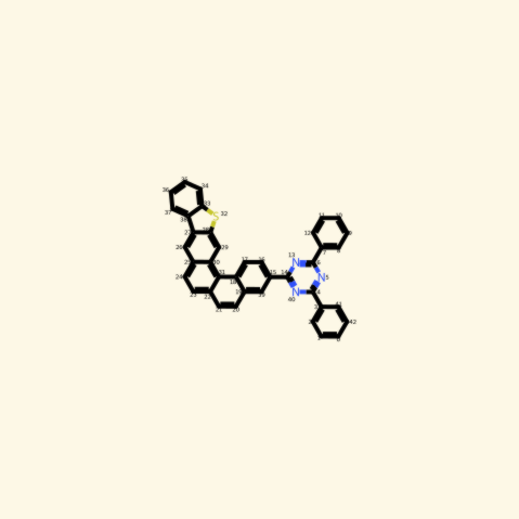 c1ccc(-c2nc(-c3ccccc3)nc(-c3ccc4c(ccc5ccc6cc7c(cc6c54)sc4ccccc47)c3)n2)cc1